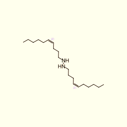 CCCCC/C=C\CCCNNCCC/C=C\CCCCC